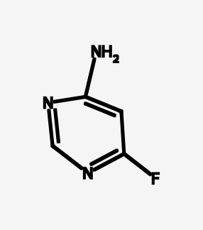 Nc1cc(F)ncn1